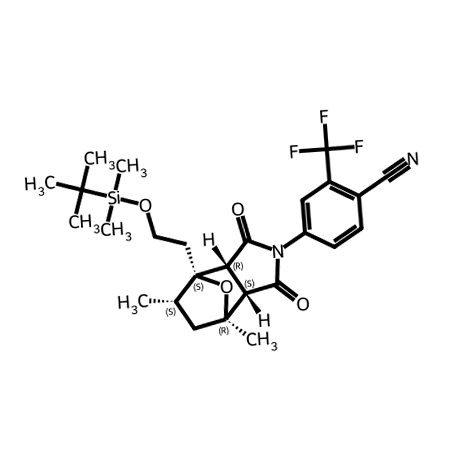 C[C@H]1C[C@@]2(C)O[C@]1(CCO[Si](C)(C)C(C)(C)C)[C@@H]1C(=O)N(c3ccc(C#N)c(C(F)(F)F)c3)C(=O)[C@@H]12